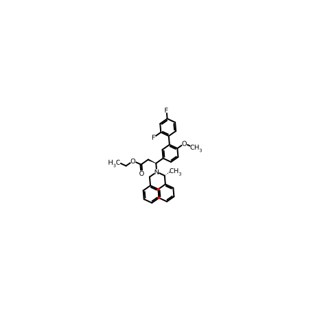 CCOC(=O)C[C@@H](c1ccc(OC)c(-c2ccc(F)cc2F)c1)N(Cc1ccccc1)[C@H](C)c1ccccc1